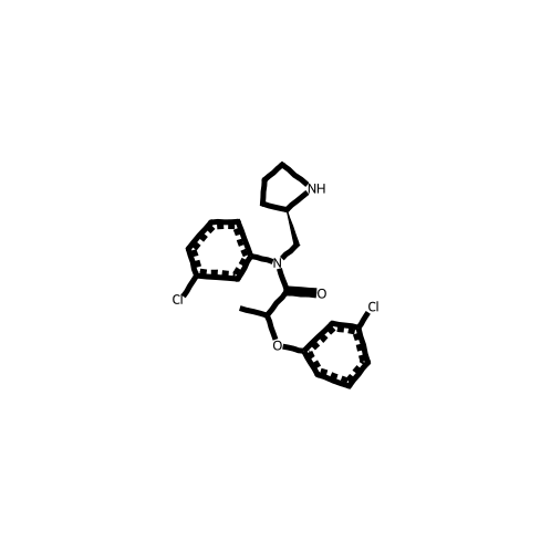 CC(Oc1cccc(Cl)c1)C(=O)N(C[C@H]1CCCN1)c1cccc(Cl)c1